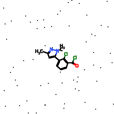 Cc1cc(-c2cccc(C(=O)Cl)c2Cl)n(C)n1